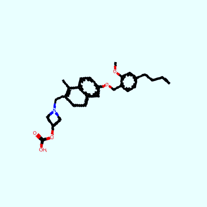 CCCCc1ccc(COc2ccc3c(c2)CCC(CN2CC(OC(=O)O)C2)=C3C)c(OC)c1